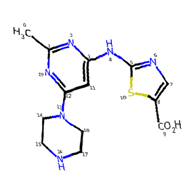 Cc1nc(Nc2ncc(C(=O)O)s2)cc(N2CCNCC2)n1